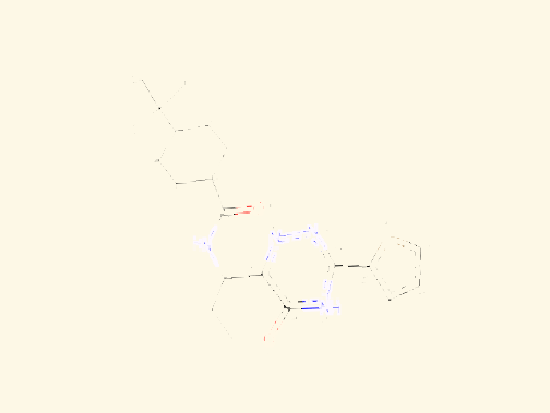 CCC(NC(=O)C1CCC(C(C)(C)C)CC1)c1nnc(-c2cccs2)[nH]c1=O